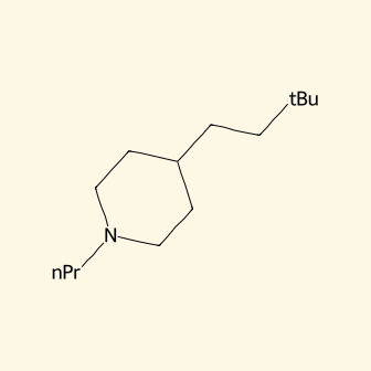 CCCN1CCC(CCC(C)(C)C)CC1